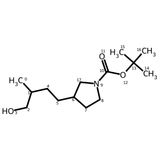 CC(CO)CCC1CCN(C(=O)OC(C)(C)C)C1